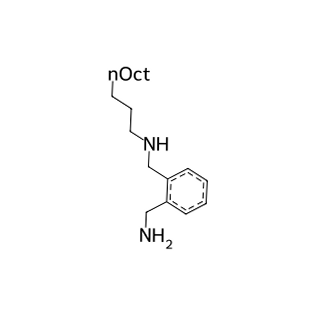 CCCCCCCCCCCNCc1ccccc1CN